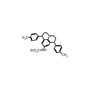 CCOC(=O)Nc1cc2c3c(c1)C(c1ccc(C)cc1)CCN3CCC2c1ccc(C)cc1